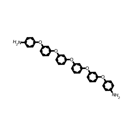 Nc1ccc(Oc2cccc(Oc3cccc(Oc4cccc(Oc5cccc(Oc6ccc(N)cc6)c5)c4)c3)c2)cc1